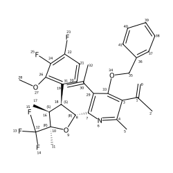 C=C(C)c1c(C)nc([C@@H]2O[C@@](C)(C(F)(F)F)[C@@H](C)[C@H]2c2ccc(F)c(F)c2OC)c(C(=C)C)c1OCc1ccccc1